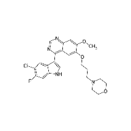 COc1cc2ncnc(-c3c[nH]c4cc(F)c(Cl)cc34)c2cc1OCCCN1CCOCC1